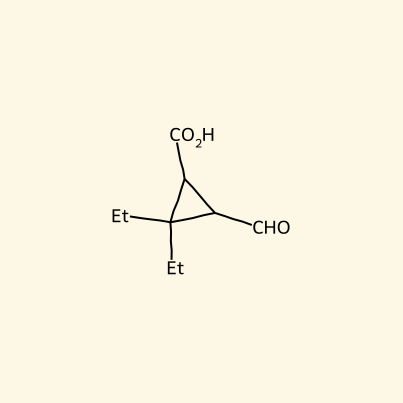 CCC1(CC)C(C=O)C1C(=O)O